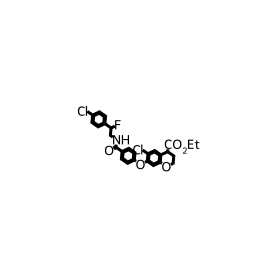 CCOC(=O)C1CCOc2cc(Oc3ccc(C(=O)NCC(F)c4ccc(Cl)cc4)cc3)c(Cl)cc21